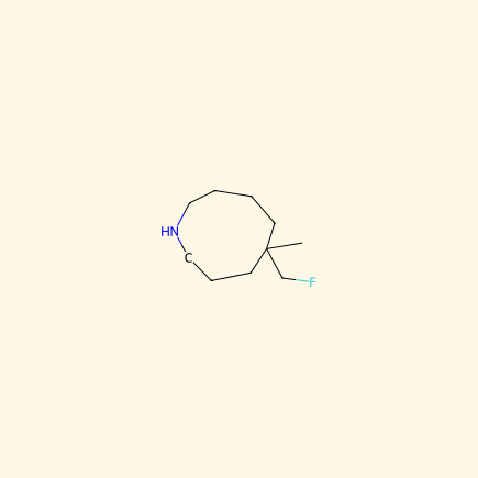 CC1(CF)CCCCNCCC1